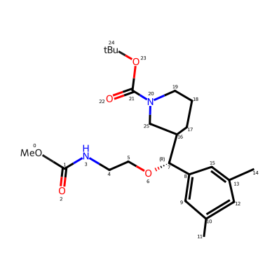 COC(=O)NCCO[C@@H](c1cc(C)cc(C)c1)C1CCCN(C(=O)OC(C)(C)C)C1